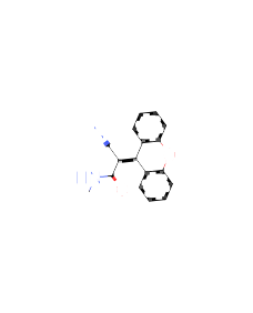 CNC(=O)C(C#N)=C1c2ccccc2Oc2ccccc21